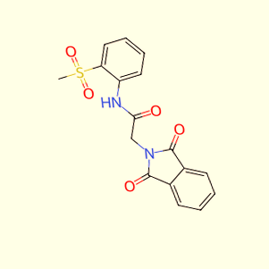 CS(=O)(=O)c1ccccc1NC(=O)CN1C(=O)c2ccccc2C1=O